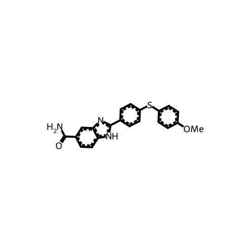 COc1ccc(Sc2ccc(-c3nc4cc(C(N)=O)ccc4[nH]3)cc2)cc1